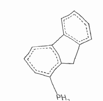 Pc1cccc2c1Cc1ccccc1-2